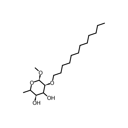 CCCCCCCCCCCCO[C@H]1C(O)[C@@H](O)C(C)O[C@H]1OC